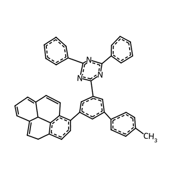 Cc1ccc(-c2cc(-c3nc(-c4ccccc4)nc(-c4ccccc4)n3)cc(-c3ccc4c5c3C=CC3=CC=CC(=CC4)C35)c2)cc1